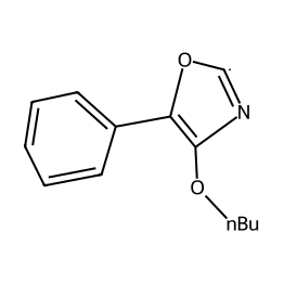 CCCCOc1n[c]oc1-c1ccccc1